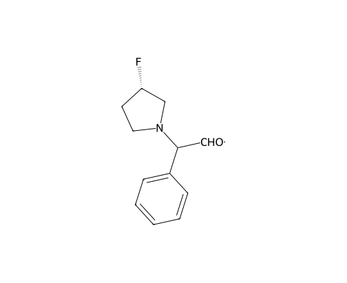 O=[C]C(c1ccccc1)N1CC[C@H](F)C1